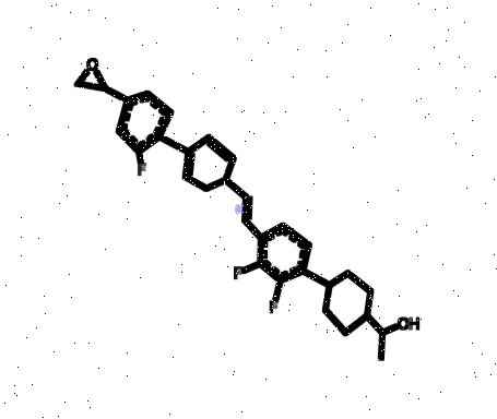 CC(O)C1CCC(c2ccc(/C=C/C3C=CC(c4ccc(C5CO5)cc4F)=CC3)c(F)c2F)CC1